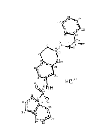 C[C@@H](NC[C@H]1CCc2ccc(NS(=O)(=O)c3cccc4ccccc34)cc2O1)c1ccccc1.Cl